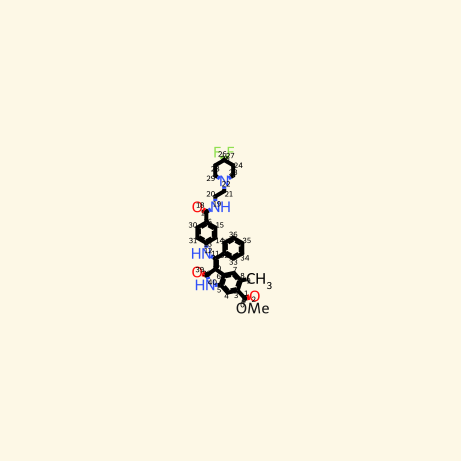 COC(=O)c1cc2c(cc1C)/C(=C(/Nc1ccc(C(=O)NCCN3CCC(F)(F)CC3)cc1)c1ccccc1)C(=O)N2